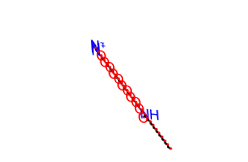 CCCCCCCCCCCCCCCCCC(=O)NCCOCCOCCOCCOCCOCCOCCOCCOCCOCCOCCN=[N+]=[N-]